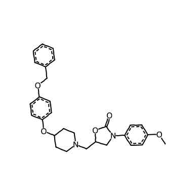 COc1ccc(N2CC(CN3CCC(Oc4ccc(OCc5ccccc5)cc4)CC3)OC2=O)cc1